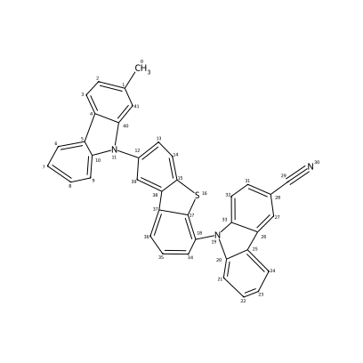 Cc1ccc2c3ccccc3n(-c3ccc4sc5c(-n6c7ccccc7c7cc(C#N)ccc76)cccc5c4c3)c2c1